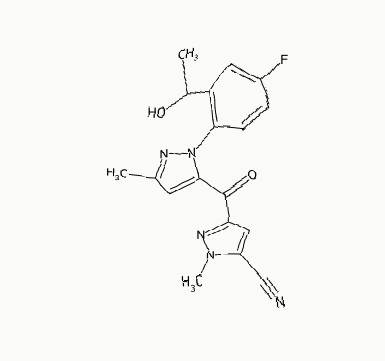 Cc1cc(C(=O)c2cc(C#N)n(C)n2)n(-c2ccc(F)cc2C(C)O)n1